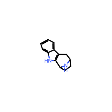 c1ccc2c3c([nH]c2c1)C1CCC(C3)N1